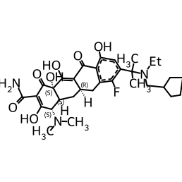 CCN(CC1CCCC1)C(C)(C)c1cc(O)c2c(c1F)C[C@H]1C[C@H]3[C@H](N(C)C)C(O)=C(C(N)=O)C(=O)[C@@]3(O)C(O)=C1C2=O